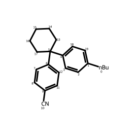 CCCCc1ccc(C2(c3ccc(C#N)cc3)CCCCC2)cc1